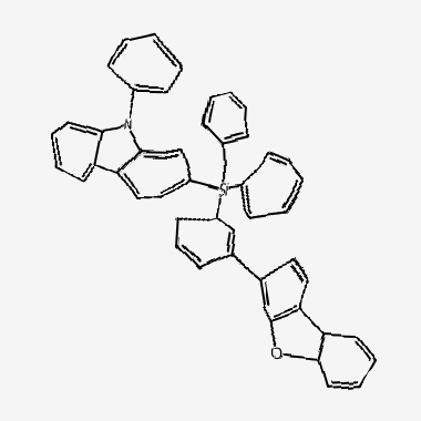 C1=CC2Oc3cc(C4=CC([Si](c5ccccc5)(c5ccccc5)c5ccc6c7ccccc7n(-c7ccccc7)c6c5)CC=C4)ccc3C2C=C1